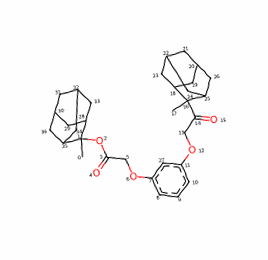 CC1(OC(=O)COc2cccc(OCC(=O)C3(C)C4CC5CC(C4)CC3C5)c2)C2CC3CC(C2)CC1C3